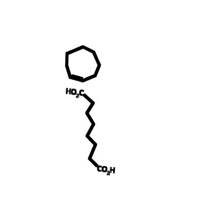 C1=CCCCCCC1.O=C(O)CCCCCCC(=O)O